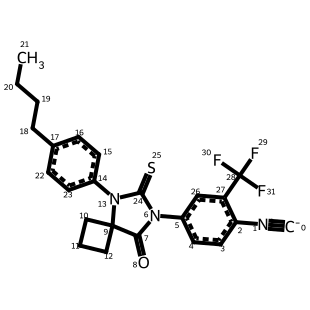 [C-]#[N+]c1ccc(N2C(=O)C3(CCC3)N(c3ccc(CCCC)cc3)C2=S)cc1C(F)(F)F